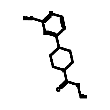 CSc1nccc(C2CCN(C(=O)OC(C)(C)C)CC2)n1